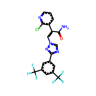 NC(=O)C(=Cn1cnc(-c2cc(C(F)(F)F)cc(C(F)(F)F)c2)n1)c1cccnc1Cl